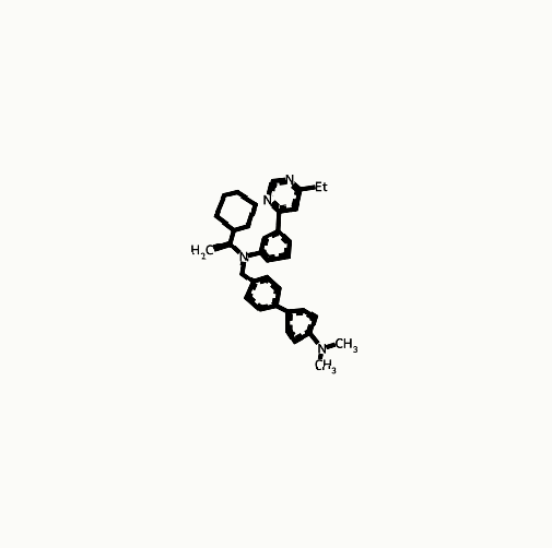 C=C(C1CCCCC1)N(Cc1ccc(-c2ccc(N(C)C)cc2)cc1)c1cccc(-c2cc(CC)ncn2)c1